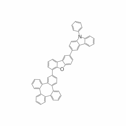 c1ccc(-n2c3ccccc3c3cc(-c4ccc5oc6c(-c7ccc8c(c7)-c7ccccc7-c7ccccc7-c7ccccc7-8)cccc6c5c4)ccc32)cc1